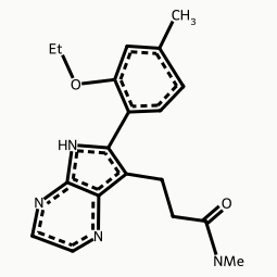 CCOc1cc(C)ccc1-c1[nH]c2nccnc2c1CCC(=O)NC